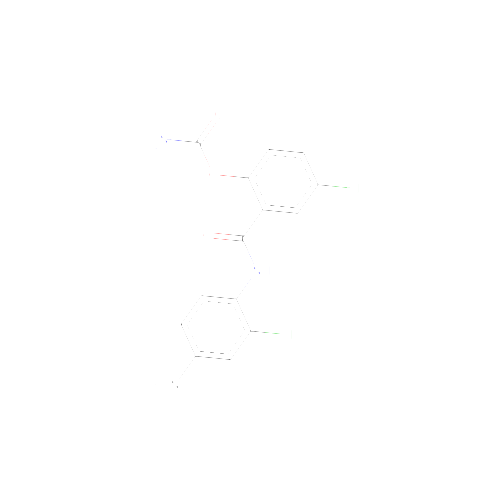 NC(=O)Oc1ccc(Cl)cc1C(=O)Nc1ccc([N+](=O)[O-])cc1Cl